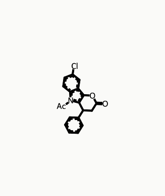 CC(=O)n1c2c(c3cc(Cl)ccc31)OC(=O)CC2c1ccccc1